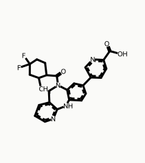 CC1CC(F)(F)CCC1C(=O)N1Cc2cccnc2Nc2ccc(-c3ccc(C(=O)O)nc3)cc21